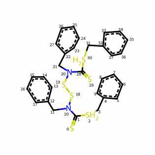 S=C([SH2]Cc1ccccc1)N(Cc1ccccc1)SSN(Cc1ccccc1)C(=S)[SH2]Cc1ccccc1